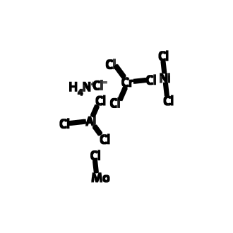 [Cl-].[Cl][Al]([Cl])[Cl].[Cl][Cr]([Cl])[Cl].[Cl][Mo].[Cl][Ni][Cl].[NH4+]